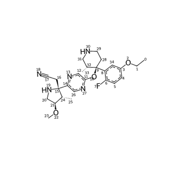 CCOc1ccc(F)c([C@@]2(Oc3cnc([C@@]4(CC#N)NC[C@H](OC)[C@H]4C)cn3)CCNC[C@H]2C)c1